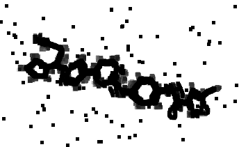 Cc1cc(C(=O)Nc2ccc(Nc3nccc(-c4cnn(C(CC#N)C5CCCC5)c4)n3)cc2)no1